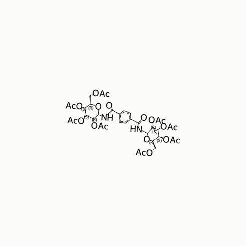 CC(=O)OC[C@H]1OC(NC(=O)c2ccc(C(=O)NC3O[C@H](COC(C)=O)[C@H](OC(C)=O)[C@H](OC(C)=O)[C@H]3OC(C)=O)cc2)[C@H](OC(C)=O)[C@@H](OC(C)=O)[C@H]1OC(C)=O